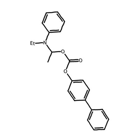 CCN(c1ccccc1)C(C)OC(=O)Oc1ccc(-c2ccccc2)cc1